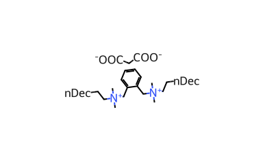 CCCCCCCCCCCC[N+](C)(C)Cc1ccccc1C[N+](C)(C)CCCCCCCCCCCC.O=C([O-])CC(=O)[O-]